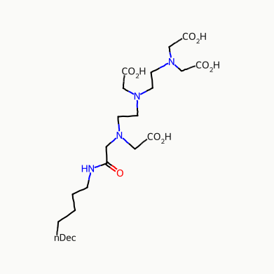 CCCCCCCCCCCCCCNC(=O)CN(CCN(CCN(CC(=O)O)CC(=O)O)CC(=O)O)CC(=O)O